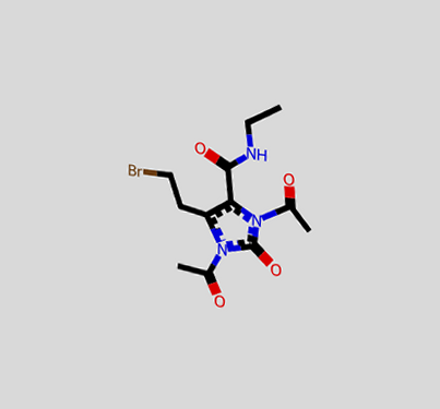 CCNC(=O)c1c(CCBr)n(C(C)=O)c(=O)n1C(C)=O